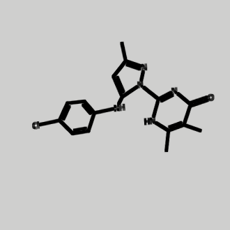 Cc1cc(Nc2ccc(Cl)cc2)n(-c2nc(=O)c(C)c(C)[nH]2)n1